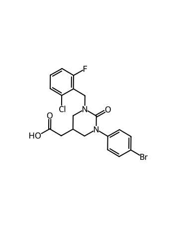 O=C(O)CC1CN(Cc2c(F)cccc2Cl)C(=O)N(c2ccc(Br)cc2)C1